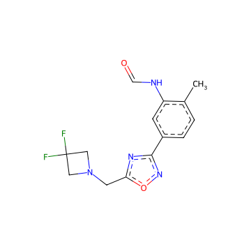 Cc1ccc(-c2noc(CN3CC(F)(F)C3)n2)cc1NC=O